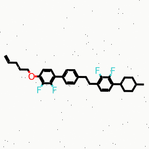 C=CCCCOc1ccc(-c2ccc(CCc3ccc(C4CCC(C)CC4)c(F)c3F)cc2)c(F)c1F